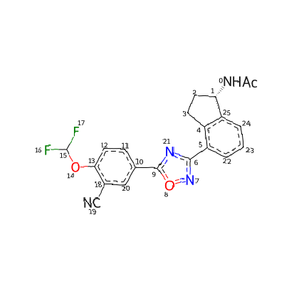 CC(=O)N[C@H]1CCc2c(-c3noc(-c4ccc(OC(F)F)c(C#N)c4)n3)cccc21